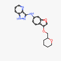 c1cnc2c(Nc3ccc4c(OCC5CCCCO5)coc4c3)n[nH]c2c1